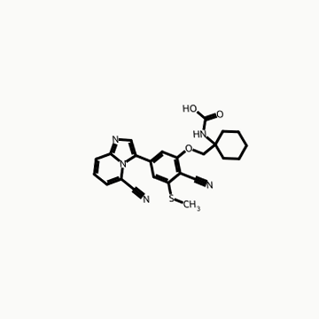 CSc1cc(-c2cnc3cccc(C#N)n23)cc(OCC2(NC(=O)O)CCCCC2)c1C#N